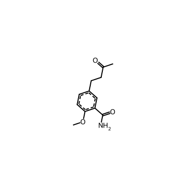 COc1ccc(CCC(C)=O)cc1C(N)=O